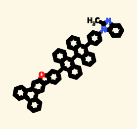 Cc1nc2ccccc2n1-c1ccc(-c2c3ccccc3c(-c3c4ccccc4c(-c4ccc5c(c4)oc4cc6c7ccccc7c7ccccc7c6cc45)c4ccccc34)c3ccccc23)cc1